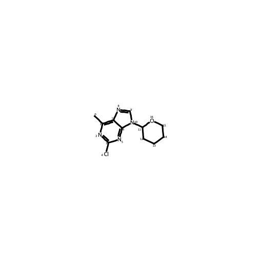 Cc1nc(Cl)nc2c1ncn2C1CCCCO1